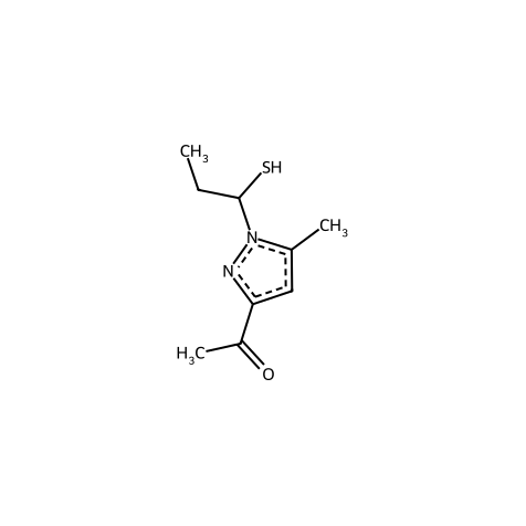 CCC(S)n1nc(C(C)=O)cc1C